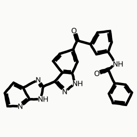 O=C(Nc1cccc(C(=O)c2ccc3c(-c4nc5cccnc5[nH]4)n[nH]c3c2)c1)c1ccccc1